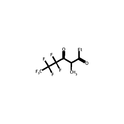 CCC(=O)C(C)C(=O)C(F)(F)C(F)(F)C(F)(F)F